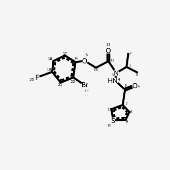 CC(C)N(NC(=O)c1ccsc1)C(=O)COc1ccc(F)cc1Br